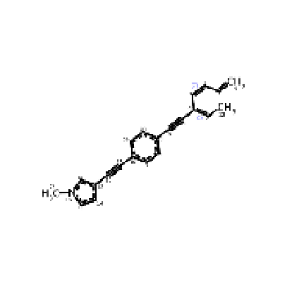 C=C/C=C\C(C#Cc1ccc(C#Cc2ccn(C)c2)cc1)=C/C